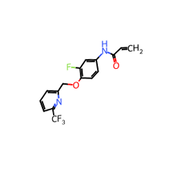 C=CC(=O)Nc1ccc(OCc2cccc(C(F)(F)F)n2)c(F)c1